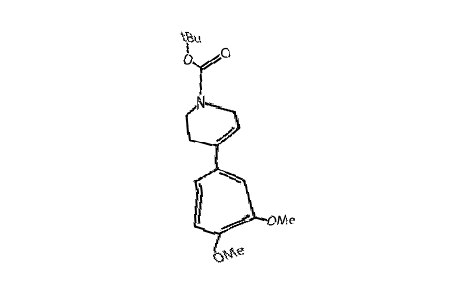 COc1ccc(C2=CCN(C(=O)OC(C)(C)C)CC2)cc1OC